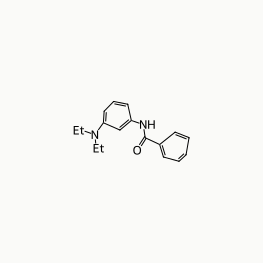 CCN(CC)c1cccc(NC(=O)c2ccccc2)c1